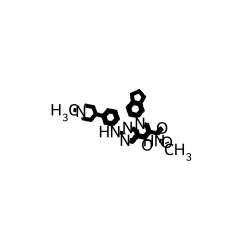 CONC(=O)c1cn(-c2ccc3c(c2)CCC3)c2nc(Nc3cccc(C4CCN(C)CC4)c3)ncc2c1=O